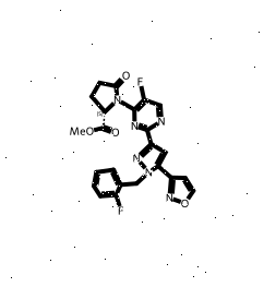 COC(=O)[C@@H]1CCC(=O)N1c1nc(-c2cc(-c3ccon3)n(Cc3ccccc3F)n2)ncc1F